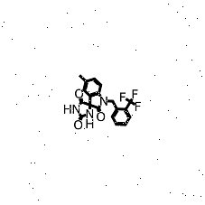 Cc1ccc2c(c1)C1(NC(=O)NC1=O)C(=O)N2Cc1ccccc1C(F)(F)F